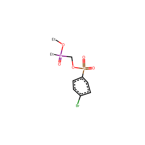 CCOP(=O)(CC)COS(=O)(=O)c1ccc(Br)cc1